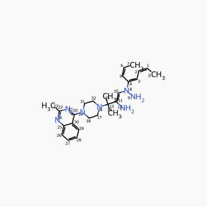 C\C=C/C=C(\C=C/C)N(N)/C=C(\N)C(C)(C)N1CCN(c2nc(C)nc3ccccc23)CC1